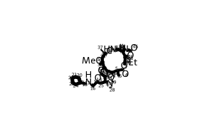 CC[C@H]1OC(=O)C(C)C(=O)[C@H](C)[C@@H](O[C@@H]2OC(CNCc3ccccc3)CC(N(C)C)C2O)[C@](C)(OC)C[C@@H](C)CN[C@H](C)[C@H]2NC(=O)O[C@@]21C